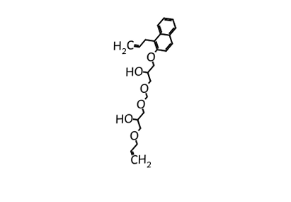 C=CCOCC(O)COCOCC(O)COc1ccc2ccccc2c1CC=C